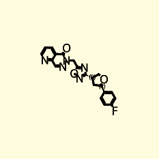 O=c1c2cccnc2cnn1Cc1nc([C@@H]2CO[C@@H](c3ccc(F)cc3)C2)no1